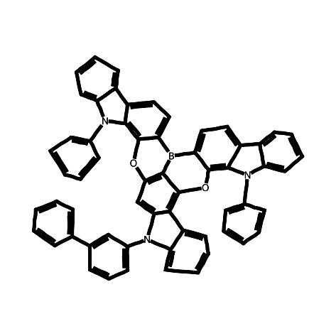 c1ccc(-c2cccc(-n3c4ccccc4c4c5c6c(cc43)Oc3c(ccc4c7ccccc7n(-c7ccccc7)c34)B6c3ccc4c6ccccc6n(-c6ccccc6)c4c3O5)c2)cc1